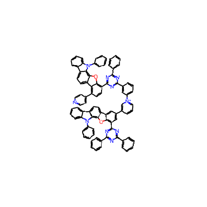 c1ccc(-c2nc(-c3ccccc3)nc(-c3cc(-c4ccc[n+](-c5cccc(-c6nc(-c7ccccc7)nc(-c7ccc(-c8ccncc8)c8c7oc7c8ccc8c9ccccc9n(-c9ccccc9)c87)n6)c5)c4)cc4c3oc3c4ccc4c5ccccc5n(-c5ccccc5)c43)n2)cc1